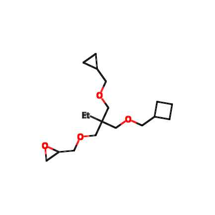 CCC(COCC1CCC1)(COCC1CC1)COCC1CO1